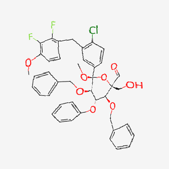 COc1ccc(Cc2cc([C@]3(OC)O[C@@](C=O)(CO)[C@@H](OCc4ccccc4)[C@H](Oc4ccccc4)[C@H]3OCc3ccccc3)ccc2Cl)c(F)c1F